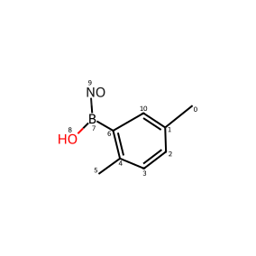 Cc1ccc(C)c(B(O)N=O)c1